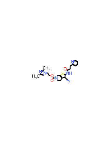 Cc1cn(CCOC(=O)N2CCC3=C(C2)SC(NC(=O)CCc2ccccn2)C3C#N)c(C)n1